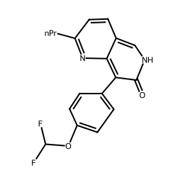 CCCc1ccc2c[nH]c(=O)c(-c3ccc(OC(F)F)cc3)c2n1